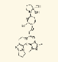 CCc1nc(N2CCCS2(O)O)ccc1OCC(=O)N1CCc2nc3n(c2[C@@H]1c1sc(C)nc1C)CCC3